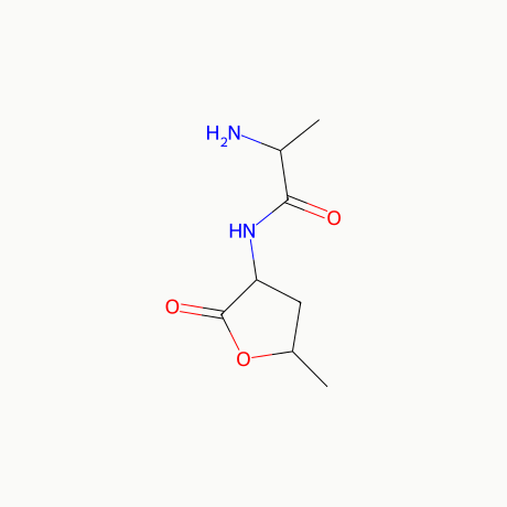 CC1CC(NC(=O)C(C)N)C(=O)O1